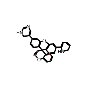 C1=CCNC(c2ccc3c(c2)Oc2cc(C4=CN=CNC4)ccc2C32c3ccccc3Oc3ccccc32)=C1